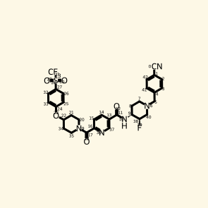 N#Cc1ccc(CN2CC[C@@H](NC(=O)c3ccc(C(=O)N4CCC(Oc5ccc(S(=O)(=O)C(F)(F)F)cc5)CC4)nc3)[C@H](F)C2)cc1